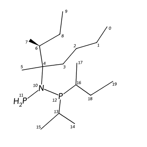 CCCCC(C)([C@@H](C)CC)N(P)P(C(C)C)C(C)CC